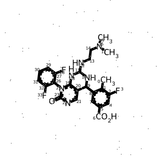 Cc1c(F)cc(C(=O)O)cc1C1NC(NCCN(C)C)Nc2c1cnc(=O)n2-c1c(F)cccc1F